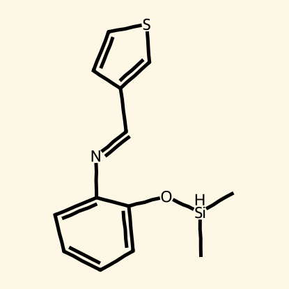 C[SiH](C)Oc1ccccc1N=Cc1ccsc1